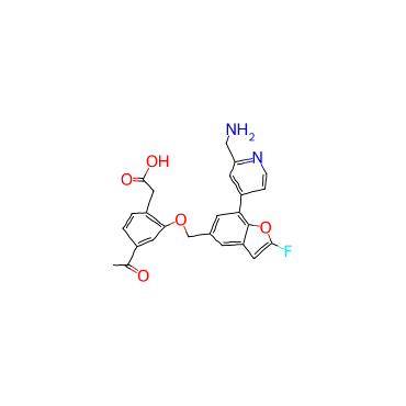 CC(=O)c1ccc(CC(=O)O)c(OCc2cc(-c3ccnc(CN)c3)c3oc(F)cc3c2)c1